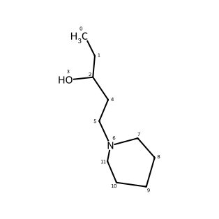 CCC(O)CCN1CCCCC1